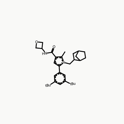 Cc1c(C(=O)NC2COC2)cc(-c2cc(C(C)(C)C)cc(C(C)(C)C)c2)n1CC1CC2CCC1C2